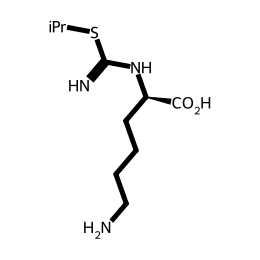 CC(C)SC(=N)N[C@H](CCCCN)C(=O)O